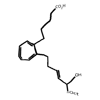 CCCCCCCCC(O)C=CCCc1ccccc1CCCCC(=O)O